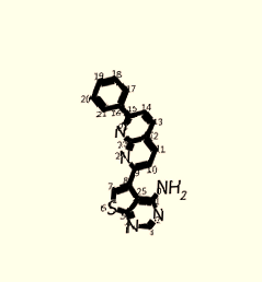 Nc1ncnc2scc(-c3ccc4ccc(-c5ccccc5)nc4n3)c12